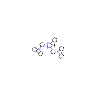 C[Si]1(C)c2ccccc2-c2nc(-c3cccc(-n4c5ccccc5c5ccccc54)c3)nc(-c3cccc(-n4c5ccccc5c5ccccc54)c3)c21